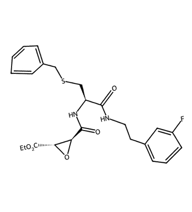 CCOC(=O)[C@H]1O[C@@H]1C(=O)N[C@@H](CSCc1ccccc1)C(=O)NCCc1cccc(F)c1